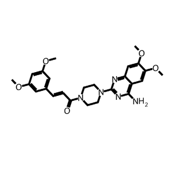 COc1cc(C=CC(=O)N2CCN(c3nc(N)c4cc(OC)c(OC)cc4n3)CC2)cc(OC)c1